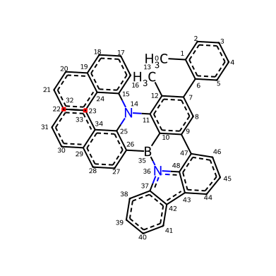 Cc1ccccc1-c1cc2c3c(c1C)N(c1cccc4ccccc14)c1c(ccc4ccccc14)B3n1c3ccccc3c3cccc-2c31